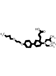 CCCCOCCOc1ccc(-c2ccc(N(CC)CC(C)C)c(C=CC(=O)O)c2)cc1